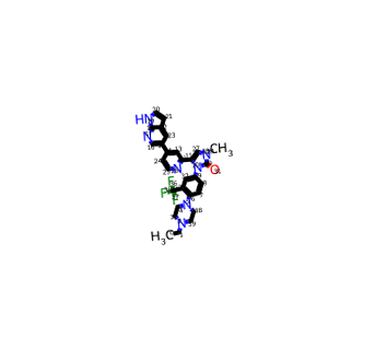 CCN1CCN(c2ccc(-n3c(-c4cc(-c5cnc6[nH]ccc6c5)ccn4)cn(C)c3=O)cc2C(F)(F)F)CC1